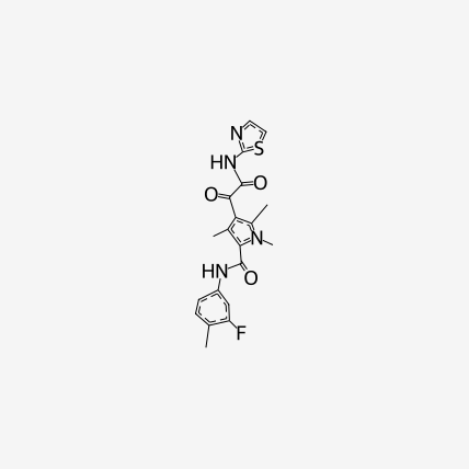 Cc1ccc(NC(=O)c2c(C)c(C(=O)C(=O)Nc3nccs3)c(C)n2C)cc1F